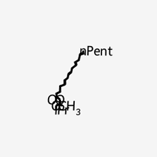 CCCCCC=CCC=CCC=CCC=CCCCC(=O)OC(C)OC(C)C